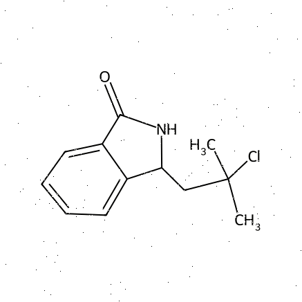 CC(C)(Cl)CC1NC(=O)c2ccccc21